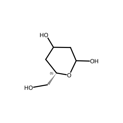 OC[C@@H]1CC(O)CC(O)O1